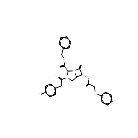 O=C(COc1ccccc1)N[C@@H]1C(=O)N2C1CN(C(=O)Cc1ccc(F)cc1)C2C(=O)OCc1ccccc1